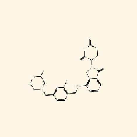 CC1CN(Cc2ccc(CNc3cccc4c3CN(C3CCC(=O)NC3=O)C4=O)c(F)c2)CCO1